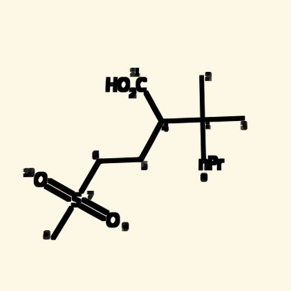 CCCC(C)(C)C(CCS(C)(=O)=O)C(=O)O